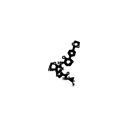 O=C(N[C@@H]1C[C@@H]1F)c1cnc2c3c(c(Nc4cccc(-c5ccc(C6OCCO6)cc5)c4Cl)nn12)OCCN3